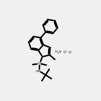 CC1=Cc2c(-c3ccccc3)cccc2[CH]1[Ti+2]([CH3])([CH3])[NH]C(C)(C)C.[Cl-].[Cl-].[SiH4]